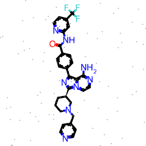 Nc1nccn2c([C@@H]3CCCN(Cc4ccncc4)C3)nc(-c3ccc(C(=O)Nc4cc(C(F)(F)F)ccn4)cc3)c12